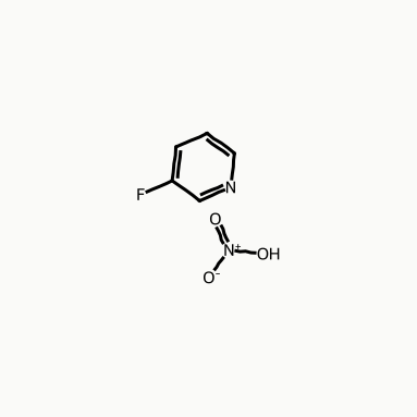 Fc1cccnc1.O=[N+]([O-])O